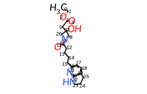 CCOC(=O)CC1(O)CN(C(=O)CCCCc2ccc3c(n2)NCCC3)C1